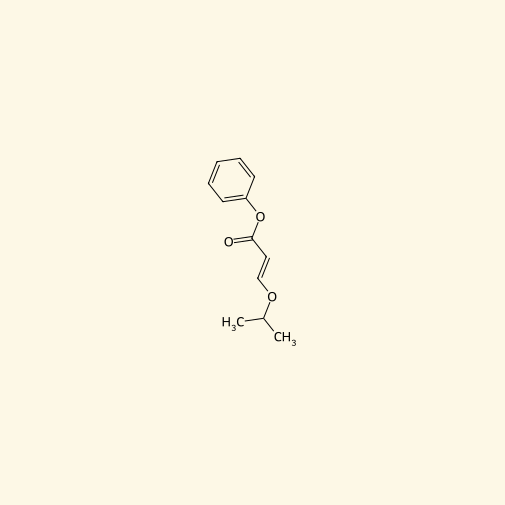 CC(C)OC=CC(=O)Oc1ccccc1